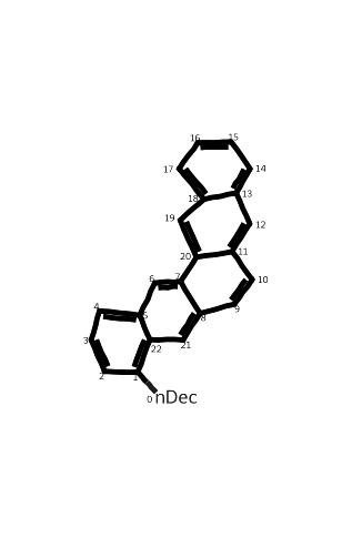 CCCCCCCCCCc1cccc2cc3c(ccc4cc5ccccc5cc43)cc12